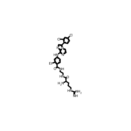 CCc1cc(Nc2nccn3c(-c4ccc(Cl)cc4Cl)cnc23)ccc1C(=O)NCCNC(=O)C(N)CCCNC(=N)N